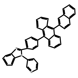 c1cncc(-n2c(-c3ccc(-c4c5ccccc5c(-c5ccc6ccccc6c5)c5ccccc45)cc3)nc3ccccc32)c1